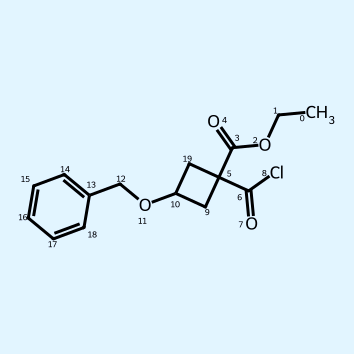 CCOC(=O)C1(C(=O)Cl)CC(OCc2ccccc2)C1